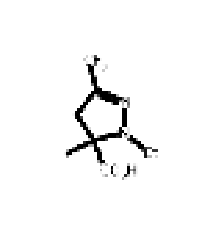 CCN1N=C(C(F)(F)F)CC1(C)C(=O)O